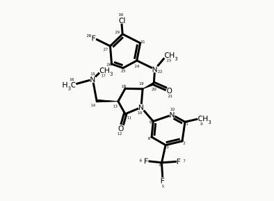 Cc1cc(C(F)(F)F)cc(N2C(=O)[C@@H](CN(C)C)C[C@H]2C(=O)N(C)c2ccc(F)c(Cl)c2)n1